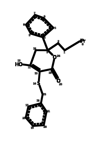 CC(C)CCC1(c2ccccc2)CC(O)=C(SCc2ccccc2)C(=O)O1